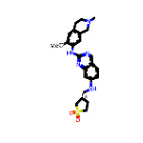 COc1cc2c(cc1Nc1ncc3ccc(NC[C@@H]4CCS(=O)(=O)C4)cc3n1)CN(C)CC2